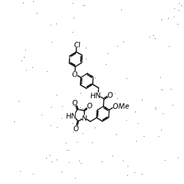 COc1ccc(CN2C(=O)NC(=O)C2=O)cc1C(=O)NCc1ccc(Oc2ccc(Cl)cc2)cc1